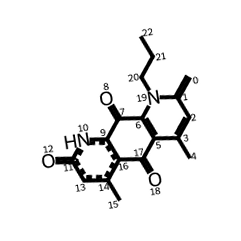 C=C1C=C(C)C2=C(C(=O)c3[nH]c(=O)cc(C)c3C2=O)N1CCC